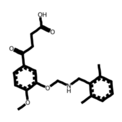 COc1ccc(C(=O)CCC(=O)O)cc1OCNCc1c(C)cccc1C